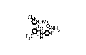 COc1nc(Cl)ccc1Oc1ccc(C(F)(F)F)c(F)c1C(=O)Nc1ccc(F)c(C(N)=O)c1